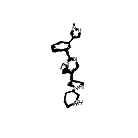 Cn1cc(-c2cccc(-c3ncc(-c4cnn(C5CCCNC5)c4)cn3)c2)cn1